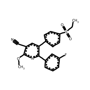 CCS(=O)(=O)c1ccc(-c2cc(C#N)c(OC)nc2-c2cccc(F)c2)cc1